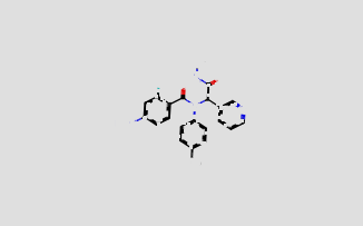 CC(C)NC(=O)C(c1cccnc1)N(C(=O)c1ccc(N)cc1F)c1ccc(C(C)(C)C)cc1